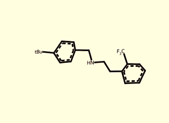 CC(C)(C)c1ccc(CNCCc2ccccc2C(F)(F)F)cc1